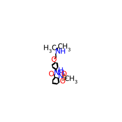 CC(C)NCCOc1ccc(NC(=O)c2ccccc2NS(C)(=O)=O)cc1